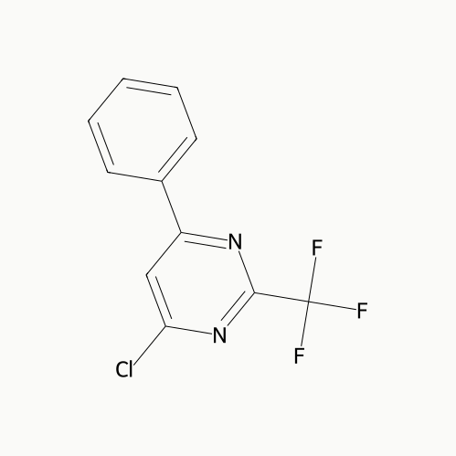 FC(F)(F)c1nc(Cl)cc(-c2ccccc2)n1